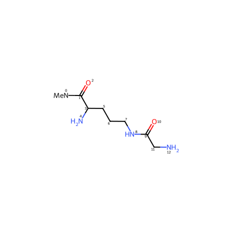 CNC(=O)C(N)CCCNC(=O)CN